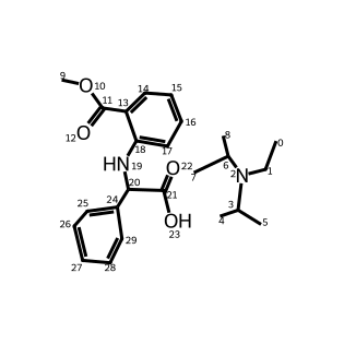 CCN(C(C)C)C(C)C.COC(=O)c1ccccc1NC(C(=O)O)c1ccccc1